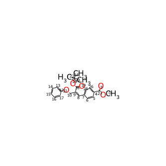 COC(=O)c1ccc(C=C(COc2ccccc2)C(=O)OC(C)(C)C)cc1